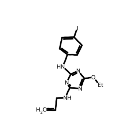 C=CCNc1nc(Nc2ccc(I)cc2)nc(OCC)n1